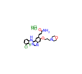 Cl.Cl.NC(=O)C=Cc1cc2c(Nc3cccc(Cl)c3F)ncnc2cc1OCCCN1CCOCC1